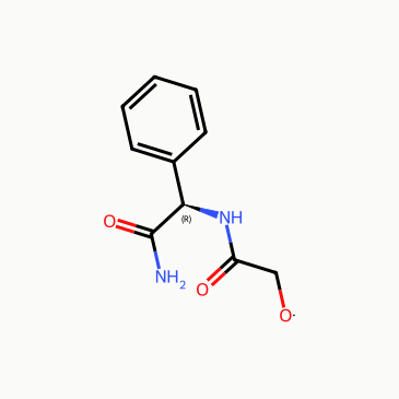 NC(=O)[C@H](NC(=O)C[O])c1ccccc1